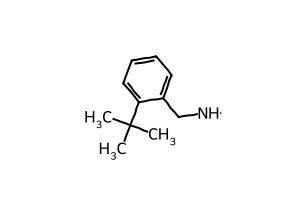 CC(C)(C)c1ccccc1C[NH]